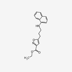 CCOC(=O)c1cc(CCCNc2cccc3ccccc23)on1